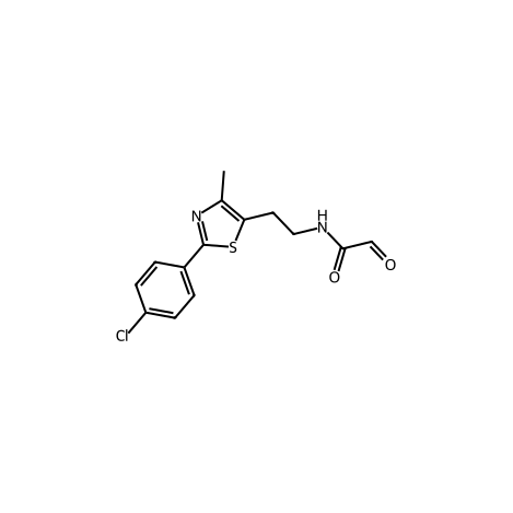 Cc1nc(-c2ccc(Cl)cc2)sc1CCNC(=O)C=O